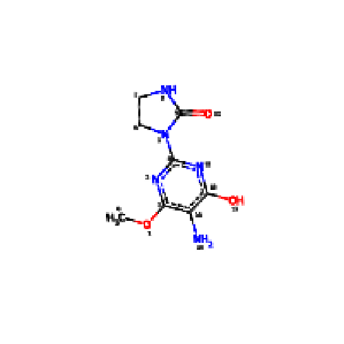 COc1nc(N2CCNC2=O)nc(O)c1N